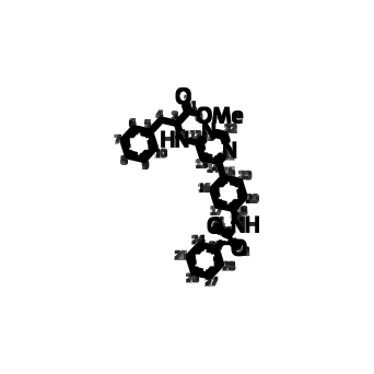 COC(=O)C(Cc1ccccc1)Nc1cc(-c2ccc(NS(=O)(=O)c3ccccc3)cc2)ncn1